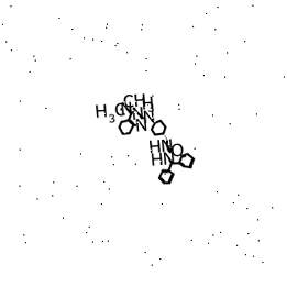 CN(C)c1nc(N[C@H]2CC[C@@H](CNC(=O)NC(c3ccccc3)c3ccccc3)CC2)nc2c1CCCC2